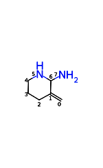 C=C1CCCNC1N